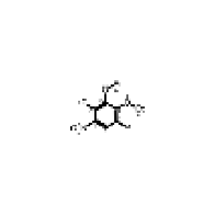 CCOc1c(C)cc([N+](=O)[O-])c(F)c1OCC